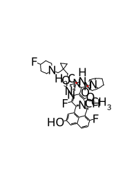 C#Cc1c(F)ccc2cc(O)cc(-c3nc(OC)c4c(N5CC6CCC(C5)N6C(=O)NC(C)C#N)nc(OCC5(CN6CCC(F)CC6)CC5)nc4c3F)c12